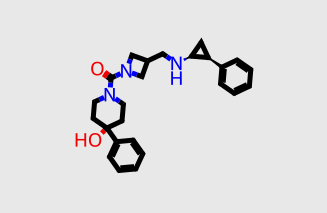 O=C(N1CCC(O)(c2ccccc2)CC1)N1CC(CN[C@@H]2C[C@H]2c2ccccc2)C1